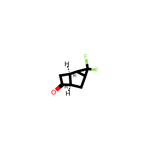 O=C1C[C@H]2C3C(C[C@@H]12)C3(F)F